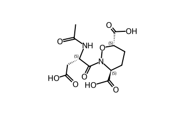 CC(=O)N[C@@H](CC(=O)O)C(=O)N1O[C@H](C(=O)O)CC[C@H]1C(=O)O